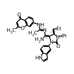 CC/C=c1/c(=C(N)\N=C(/C)Nc2ccc3c(=O)cc(C)oc3c2)n(-c2ccc3[nH]ccc3c2)c(=O)n1C(C)C